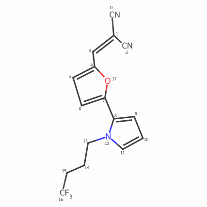 N#CC(C#N)=Cc1ccc(-c2cccn2CCCC(F)(F)F)o1